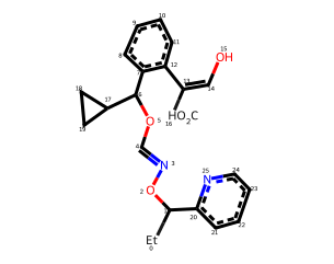 CCC(O/N=C/OC(c1ccccc1/C(=C\O)C(=O)O)C1CC1)c1ccccn1